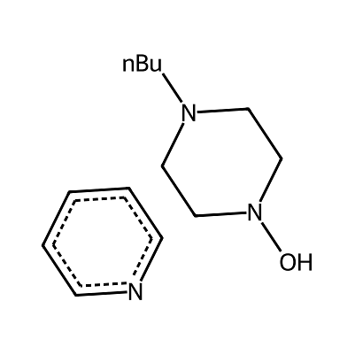 CCCCN1CCN(O)CC1.c1ccncc1